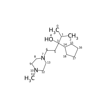 CC(C)C(O)(CCN1CCN(C)CC1)C1CCCC1